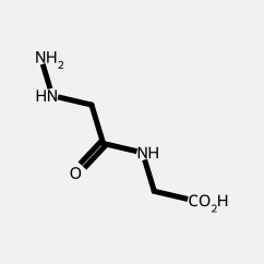 NNCC(=O)NCC(=O)O